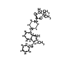 Cc1[nH]c2c(N3CCN(C(=O)OC(C)(C)C)CC3)cccc2c1Sc1ccccc1